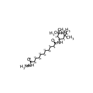 CC1(C)CC(NC(=O)CCCCCCCCCC(=O)NN)CC(C)(C)N1